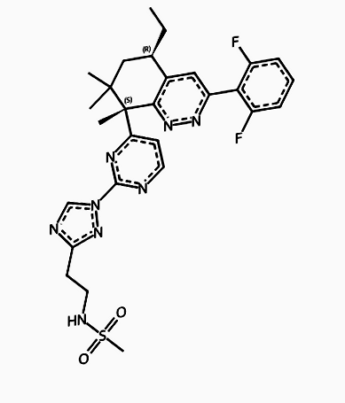 CC[C@@H]1CC(C)(C)[C@@](C)(c2ccnc(-n3cnc(CCNS(C)(=O)=O)n3)n2)c2nnc(-c3c(F)cccc3F)cc21